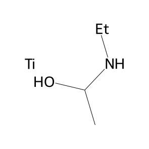 CCNC(C)O.[Ti]